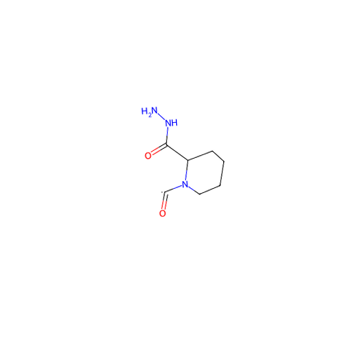 NNC(=O)C1CCCCN1[C]=O